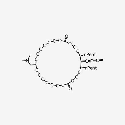 C=C=C=C=C1C(CCCCC)CCOC(=O)CCCCCCCC(CN(C)C)CCCCCCCC(=O)OCCC1CCCCC